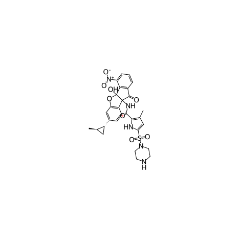 Cc1cc(S(=O)(=O)N2CCNCC2)[nH]c1C(=O)NC12C(=O)c3cccc([N+](=O)[O-])c3C1(O)Oc1cc([C@@H]3C[C@H]3C)ccc12